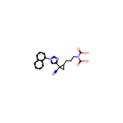 N#CC1(c2cn(-c3cccc4ccccc34)cn2)CC1CCCN(C(=O)O)C(=O)O